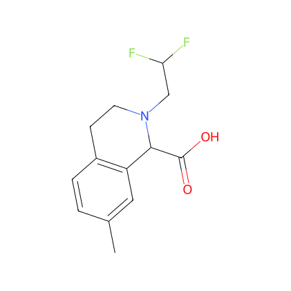 Cc1ccc2c(c1)C(C(=O)O)N(CC(F)F)CC2